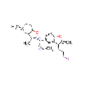 C/C=C\C(=C1\OC2CC[C@H](C)CC2C1C)c1ccc2c(c1)C(CCCI)[C@H](C)O2